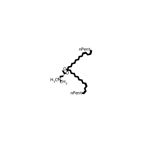 CCCCC/C=C\C/C=C\CCCCCCCCC1(CCCCCCCC/C=C\C/C=C\CCCCC)OC[C@@H](CCN(C)C)O1